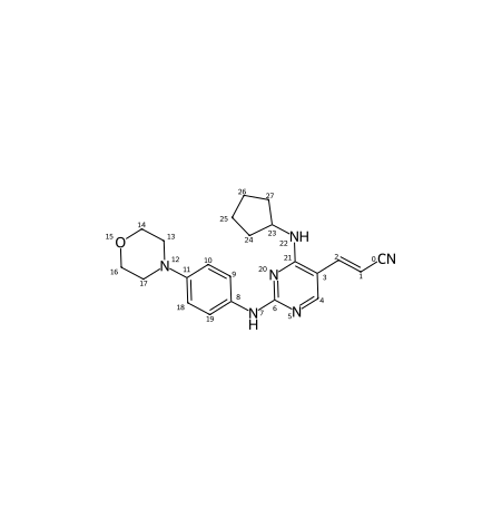 N#C/C=C/c1cnc(Nc2ccc(N3CCOCC3)cc2)nc1NC1CCCC1